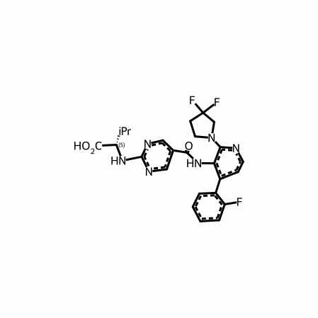 CC(C)[C@H](Nc1ncc(C(=O)Nc2c(-c3ccccc3F)ccnc2N2CCC(F)(F)C2)cn1)C(=O)O